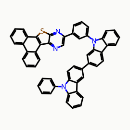 c1ccc(-n2c3ccccc3c3cc(-c4ccc5c6ccccc6n(-c6cccc(-c7cnc8c(n7)sc7c9ccccc9c9ccccc9c87)c6)c5c4)ccc32)cc1